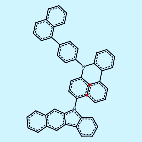 c1ccc(-c2ccccc2N(c2ccc(-c3cccc4ccccc34)cc2)c2ccc(-n3c4ccccc4c4cc5ccccc5cc43)cc2)cc1